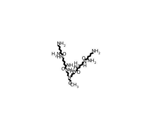 COCCN(CCCNC(=O)[C@@H](N)CCCCNC(=O)[C@@H](N)CCCCN)CCCNC(=O)[C@@H](N)CCCCNC(=O)[C@@H](N)CCCCN